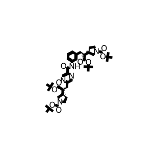 CC(C)(C)OC(=O)[C@@H](Cc1cccc(NC(=O)c2cnc(C[C@H](C(=O)OC(C)(C)C)[C@H]3CCN(C(=O)OC(C)(C)C)C3)cn2)c1)[C@H]1CCN(C(=O)OC(C)(C)C)C1